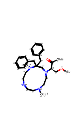 COC(=O)[C@@H](COC(C)(C)C)N1CCN(C(=O)O)CCNCCN(C(=O)O)C(Cc2ccccc2)(Cc2ccccc2)C1